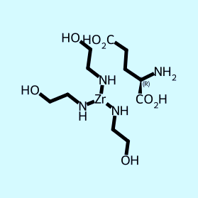 N[C@H](CCC(=O)O)C(=O)O.OCC[NH][Zr]([NH]CCO)[NH]CCO